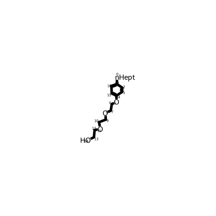 CCCCCCCc1ccc(OCCOCCOCCO)cc1